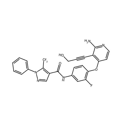 Nc1nccc(Oc2ccc(NC(=O)c3cnn(-c4ccccc4)c3C(F)(F)F)cc2F)c1C#CCO